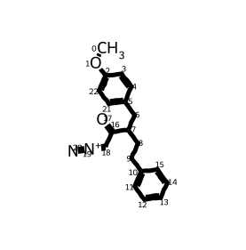 COc1ccc(CC(CCc2ccccc2)C(=O)C=[N+]=[N-])cc1